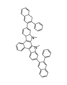 CN1c2c(c3ccccc3c3c4ccc(-c5cc6ccccc6cc5-c5ccccc5)cc4n(C)c23)C2C=CC(C3=C(c4ccccc4)CC4C=CC=CC4=C3)=CC21